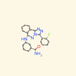 NC(=O)c1cccc(Nc2nn3c(-c4ccccc4F)nnc3c3ccccc23)c1